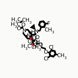 Cc1cc(Cl)c(OCCOc2ncc(C3=C(C(=O)N(Cc4cccc(F)c4C)C4CC4)[C@H]4CN(C(=O)OC(C)(C)C)CC(C3)N4C(=O)OC(C)(C)C)s2)c(Cl)c1